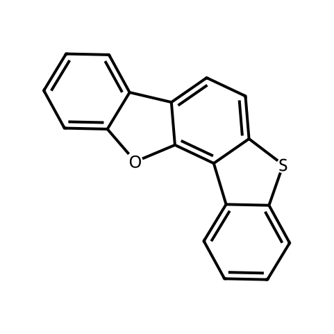 c1ccc2c(c1)oc1c2ccc2sc3ccccc3c21